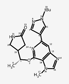 C[C@@H](Oc1nc(-c2cnn(C(C)(C)C)c2)cc2ncn(C)c12)C1CNC(=O)C1